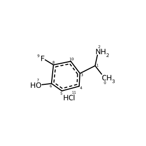 CC(N)c1ccc(O)c(F)c1.Cl